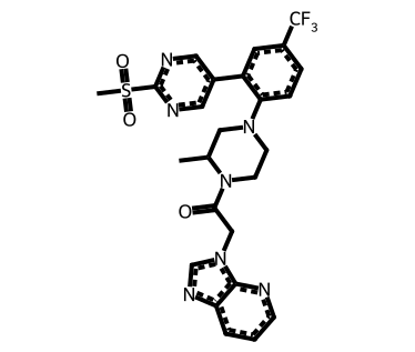 CC1CN(c2ccc(C(F)(F)F)cc2-c2cnc(S(C)(=O)=O)nc2)CCN1C(=O)Cn1cnc2cccnc21